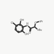 CCCCC(OCCC)C(=O)Nc1c(O)ccc(Cl)c1O